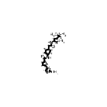 Cc1nc(-c2ccc(C(=O)Nc3ccc(CC(=O)Nc4cc(C(C)(C)C)on4)cc3)s2)cs1